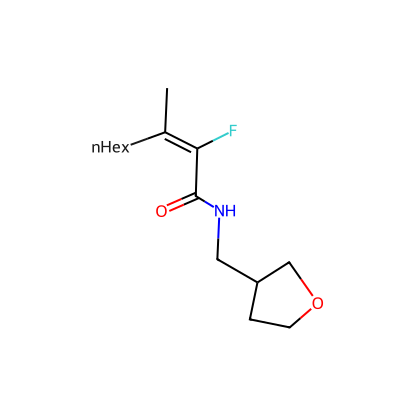 CCCCCC/C(C)=C(/F)C(=O)NCC1CCOC1